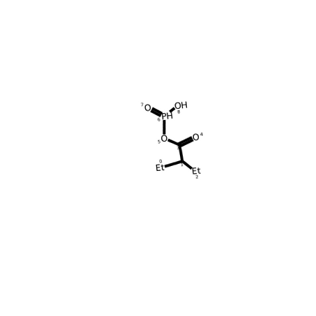 CCC(CC)C(=O)O[PH](=O)O